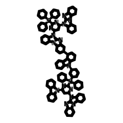 c1ccc([Si](c2ccccc2)(c2cccc(-n3c4ccccc4c4c(-c5ccc6c(c5)nc5n(-c7cc(-n8c9ccccc9n9c%10ccccc%10nc89)nc([Si](c8ccccc8)(c8ccccc8)c8ccccc8)n7)c7ccccc7n65)cccc43)c2)c2nc(-n3c4ccccc4c4ccccc43)cc(-n3c4ccccc4n4c5ccccc5nc34)n2)cc1